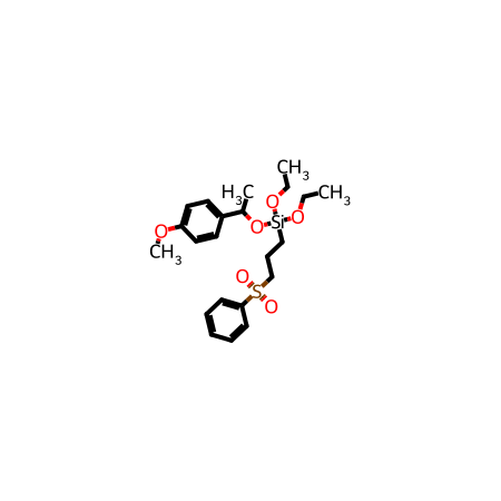 CCO[Si](CCCS(=O)(=O)c1ccccc1)(OCC)OC(C)c1ccc(OC)cc1